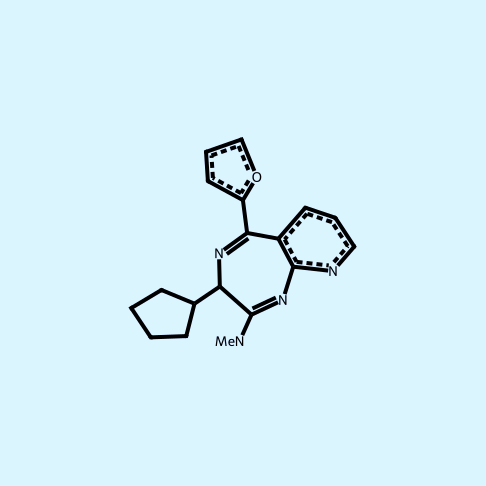 CNC1=Nc2ncccc2C(c2ccco2)=NC1C1CCCC1